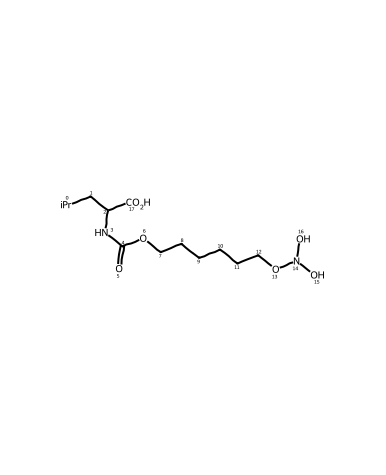 CC(C)CC(NC(=O)OCCCCCCON(O)O)C(=O)O